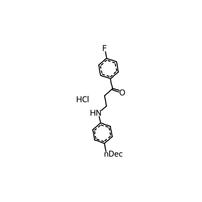 CCCCCCCCCCc1ccc(NCCC(=O)c2ccc(F)cc2)cc1.Cl